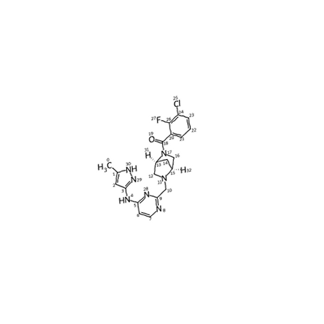 Cc1cc(Nc2ccnc(CN3C[C@@H]4C[C@H]3CN4C(=O)c3cccc(Cl)c3F)n2)n[nH]1